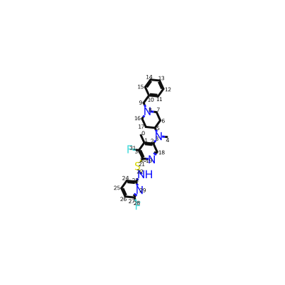 Cc1c(N(C)C2CCN(Cc3ccccc3)CC2)cnc(SNc2cccc(F)n2)c1F